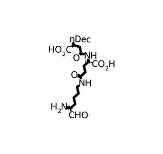 CCCCCCCCCCC(CC(=O)N[C@@H](CCC(=O)NCCCC[C@H](N)[C]=O)C(=O)O)C(=O)O